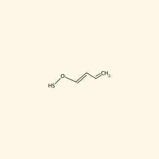 C=CC=COS